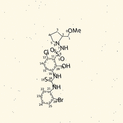 COCC1CCCN1NS(=O)(=O)c1c(Cl)ccc(NC(=S)Nc2ccccc2Br)c1O